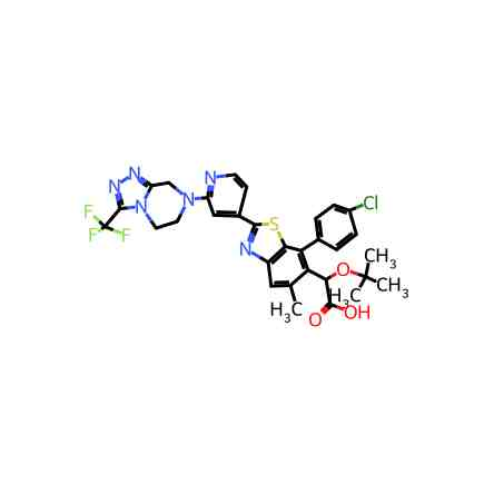 Cc1cc2nc(-c3ccnc(N4CCn5c(nnc5C(F)(F)F)C4)c3)sc2c(-c2ccc(Cl)cc2)c1C(OC(C)(C)C)C(=O)O